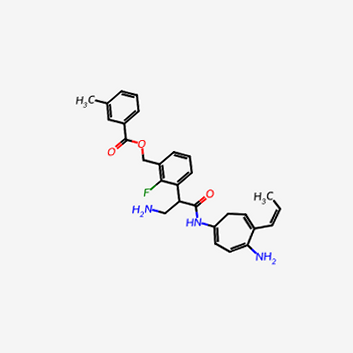 C/C=C\C1=CCC(NC(=O)C(CN)c2cccc(COC(=O)c3cccc(C)c3)c2F)=CC=C1N